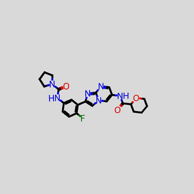 O=C(Nc1cnc2nc(-c3cc(NC(=O)N4CCCC4)ccc3F)cn2c1)C1CCCCO1